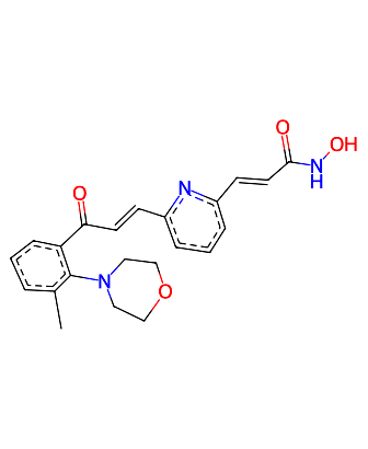 Cc1cccc(C(=O)C=Cc2cccc(C=CC(=O)NO)n2)c1N1CCOCC1